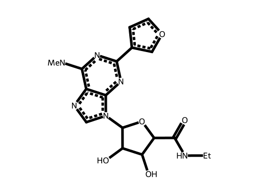 CCNC(=O)C1OC(n2cnc3c(NC)nc(-c4ccoc4)nc32)C(O)C1O